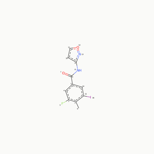 Cc1c(F)cc(C(=O)Nc2ccon2)cc1I